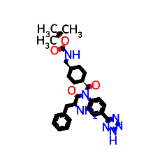 CC(C)(C)OC(=O)NC[C@H]1CC[C@H](C(=O)N(C(=O)[C@@H](N)Cc2ccccc2)c2ccc(-c3nn[nH]n3)cc2)CC1